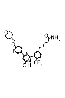 NC(=O)CCCCc1ccc(C(F)(F)F)c(-c2nc(-c3ccc(OCC4CCOCC4)nc3)cc(=O)[nH]2)c1